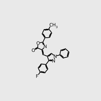 Cc1ccc(C2=N/C(=C\c3cn(-c4ccccc4)nc3-c3ccc(F)cc3)C(=O)O2)cc1